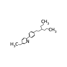 CCCC(CCC)CCc1ccc(-c2ccc(CC)cn2)cc1